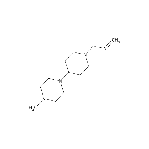 C=NCN1CCC(N2CCN(C)CC2)CC1